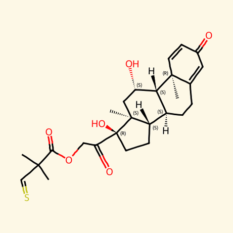 CC(C)(C=S)C(=O)OCC(=O)[C@@]1(O)CC[C@H]2[C@@H]3CCC4=CC(=O)C=C[C@]4(C)[C@H]3[C@@H](O)C[C@@]21C